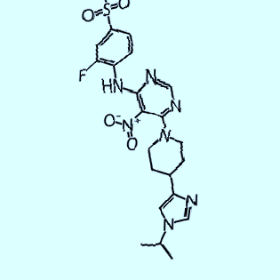 CC(C)n1cnc(C2CCN(c3ncnc(Nc4ccc(S(C)(=O)=O)cc4F)c3[N+](=O)[O-])CC2)c1